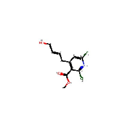 COC(=O)c1c(CC=CCO)cc(Cl)nc1Cl